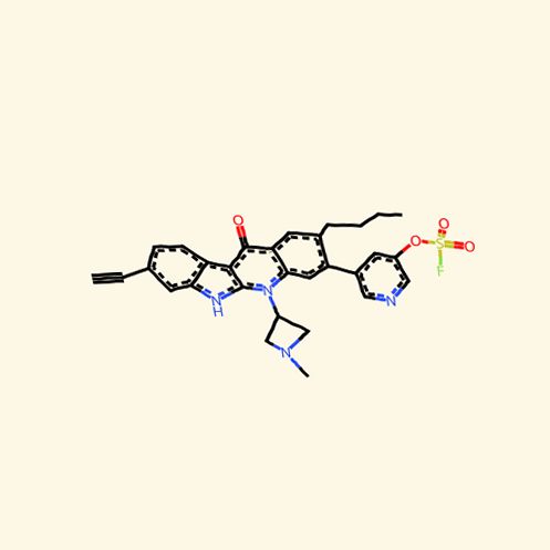 C#Cc1ccc2c(c1)[nH]c1c2c(=O)c2cc(CCCC)c(-c3cncc(OS(=O)(=O)F)c3)cc2n1C1CN(C)C1